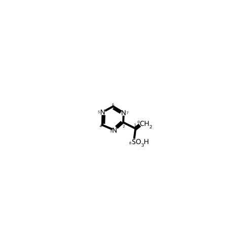 C=C(c1ncncn1)S(=O)(=O)O